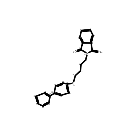 O=C1c2ccccc2C(=O)N1CCCCOc1ccc(-c2ccccc2)cc1